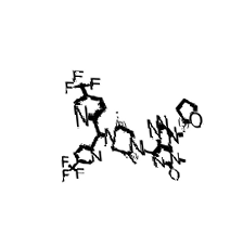 C[C@@H]1CN(c2nc(=O)n(C)c3c2nnn3C[C@@H]2CCCO2)[C@@H](C)CN1C(c1ccc(C(F)(F)F)cn1)c1ccc(C(F)(F)F)cn1